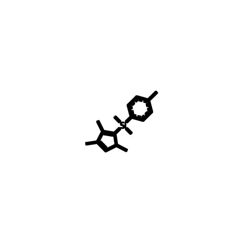 CC1=CC(C)C([Si](C)(C)c2ccc(C)cc2)=C1C